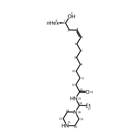 CCCCCC[C@@H](O)C/C=C\CCCCCCCC(=O)NC(CC)N1CCNCC1